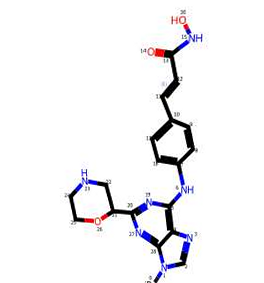 CC(C)n1cnc2c(Nc3ccc(/C=C/C(=O)NO)cc3)nc(C3CNCCO3)nc21